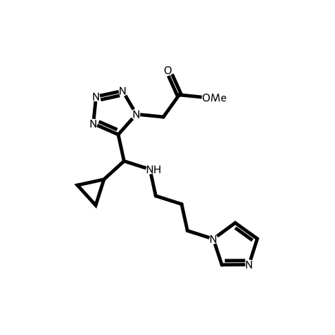 COC(=O)Cn1nnnc1C(NCCCn1ccnc1)C1CC1